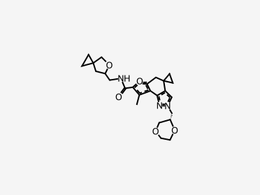 Cc1c(C(=O)NCC2CC3(CC3)CO2)oc2c1-c1nn(C[C@H]3COCCO3)cc1C1(CC1)C2